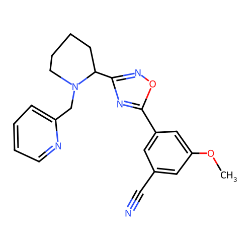 COc1cc(C#N)cc(-c2nc(C3CCCCN3Cc3ccccn3)no2)c1